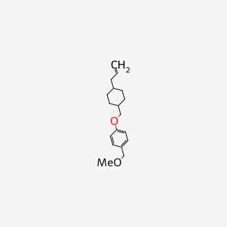 C=CCC1CCC(COc2ccc(COC)cc2)CC1